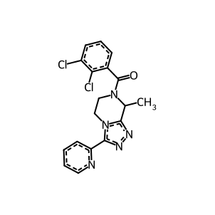 CC1c2nnc(-c3ccccn3)n2CCN1C(=O)c1cccc(Cl)c1Cl